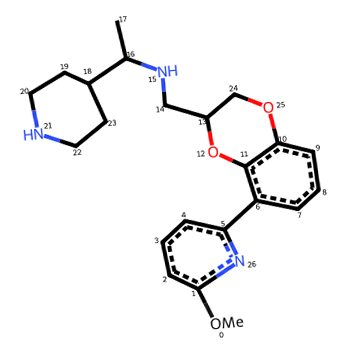 COc1cccc(-c2cccc3c2OC(CNC(C)C2CCNCC2)CO3)n1